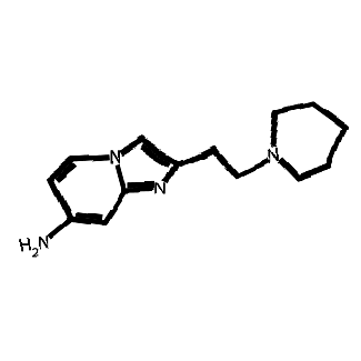 Nc1ccn2cc(CCN3CCCCC3)nc2c1